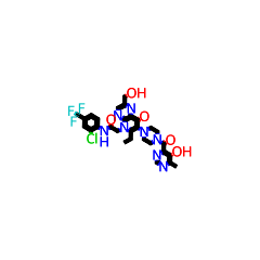 CCc1c(N2CCN(C(=O)c3ncnc(C)c3O)CC2)c(=O)c2nc(CO)cnc2n1CC(=O)Nc1ccc(C(F)(F)F)cc1Cl